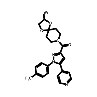 CCCC1COC2(CCN(C(=O)c3cc(-c4ccncc4)n(-c4ccc(C(F)(F)F)cc4)n3)CC2)O1